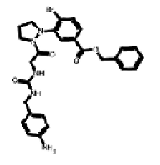 Nc1ccc(CNC(=O)NCC(=O)N2CCCN2c2cc(C(=O)OCc3ccccc3)ccc2Br)cc1